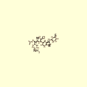 NC1CCC(N(CC2CC2)c2cc(-c3ccc4ncn(Cc5cccc(F)c5)c4c3)c(Cl)cn2)CC1